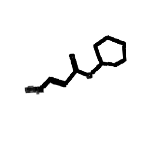 CCCCCCC/C=C/C(=O)OC1CCCCC1